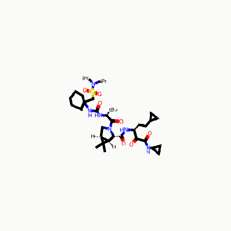 CC(C)N(C(C)C)S(=O)(=O)CC1(NC(=O)N[C@H](C(=O)N2C[C@H]3[C@@H]([C@H]2C(=O)N[C@@H](CCC2CC2)C(=O)C(=O)NC2CC2)C3(C)C)C(C)(C)C)CCCCC1